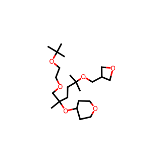 CC(C)(C)OCCOCC(C)(CCC(C)(C)OCC1COC1)OC1CCOCC1